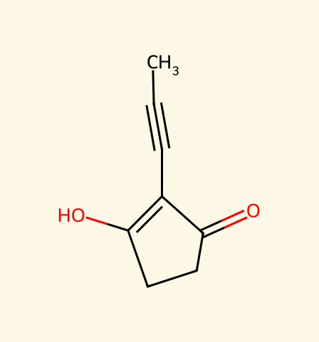 CC#CC1=C(O)CCC1=O